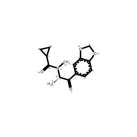 C[C@@H](C(=O)c1ccc2c(c1)OCO2)N(C)C(=O)C1CC1